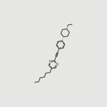 CCCCCCc1cnc(C#Cc2ccc([C@H]3CC[C@H](CC)CC3)cc2)nc1